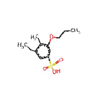 CCCOc1cc(S(=O)(=O)O)cc(CC)c1C